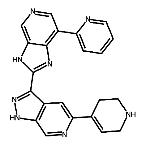 C1=C(c2cc3c(-c4nc5c(-c6ccccn6)cncc5[nH]4)n[nH]c3cn2)CCNC1